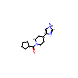 O=C(C1CCCC1)N1CCC(c2c[nH]cn2)CC1